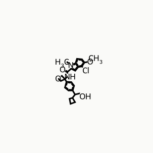 COc1ccc2c(cc(C(=O)NC3(c4ccc(C(CO)C5CCC5)cc4)COC3)n2C)c1Cl